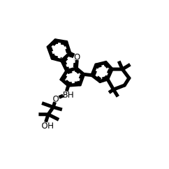 CC1(C)CCC(C)(C)c2cc(-c3cc(BOC(C)(C)C(C)(C)O)cc4c3oc3ccccc34)ccc21